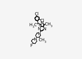 Cc1nn(C(C)c2ccc(Cl)cc2Cl)c2nc(N3CCC(N4CCC(F)CC4)C(C)C3)cnc12